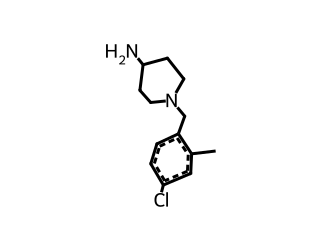 Cc1cc(Cl)ccc1CN1CCC(N)CC1